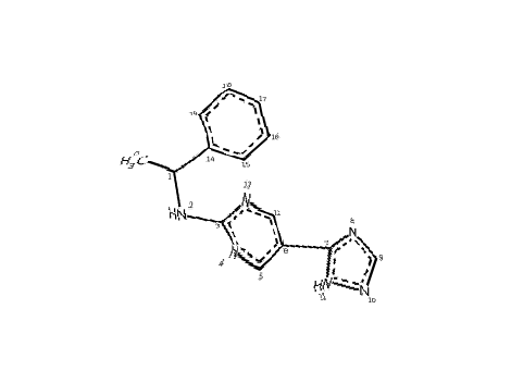 CC(Nc1ncc(-c2ncn[nH]2)cn1)c1ccccc1